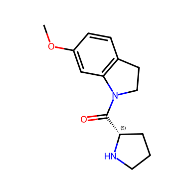 COc1ccc2c(c1)N(C(=O)[C@@H]1CCCN1)CC2